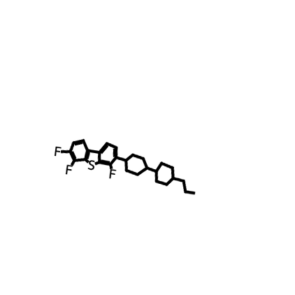 CCCC1CCC(C2CCC(c3ccc4c(sc5c(F)c(F)ccc54)c3F)CC2)CC1